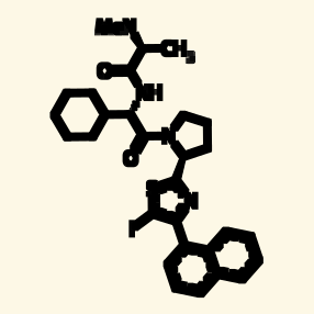 CN[C@@H](C)C(=O)N[C@H](C(=O)N1CCC[C@H]1c1nc(-c2cccc3ccccc23)c(I)s1)C1CCCCC1